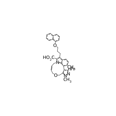 CCCc1nn(C)c2c1-c1c(C)ccc3c(CCCOc4cccc5ccccc45)c(C(=O)O)n(c13)C/C=C\COC2